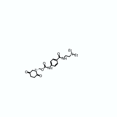 CCN(CC)CCNC(=O)c1ccc(NC(=O)OC[C@H]2CC(=O)CCC2=O)cc1